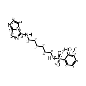 O=C(O)c1ccccc1S(=O)(=O)NCCCCCCNc1nsc2nccn12